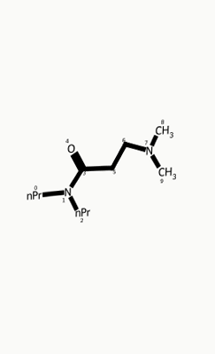 CCCN(CCC)C(=O)CCN(C)C